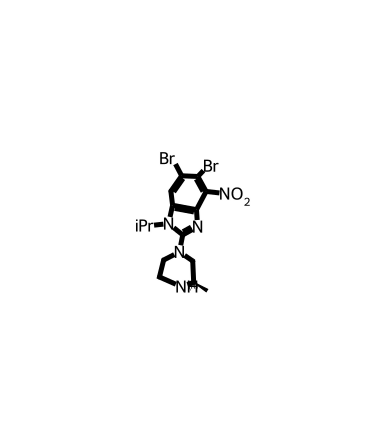 CC(C)n1c(N2CCN[C@H](C)C2)nc2c([N+](=O)[O-])c(Br)c(Br)cc21